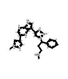 CNCCC(c1ccccc1)n1cc(-c2c[nH]c3ncc(-c4cnn(C)c4)nc23)nn1